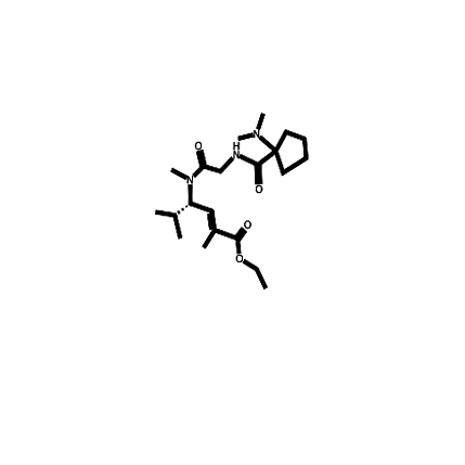 CCOC(=O)/C(C)=C/[C@H](C(C)C)N(C)C(=O)CNC(=O)C1(N(C)C)CCCC1